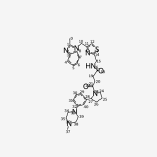 Cc1nc2ccccc2n1Cc1csc(CNC(=O)CCC(=O)N2CCCC2c2cccc(N3CCN(C)CC3)c2)n1